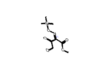 COC(=O)/C(=N/O[Si](C)(C)C)C(=O)CCl